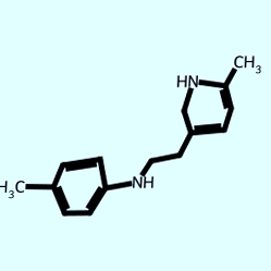 CC1=CC=C(CCNc2ccc(C)cc2)CN1